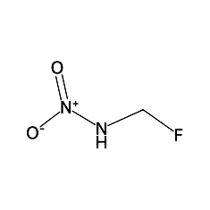 O=[N+]([O-])NCF